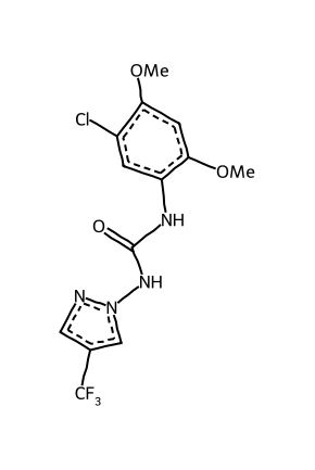 COc1cc(OC)c(NC(=O)Nn2cc(C(F)(F)F)cn2)cc1Cl